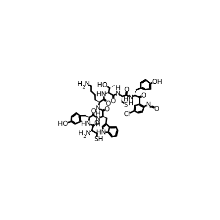 C[C@@H](O)[C@H](NC(=O)[C@H](CCCCN)NC(=O)[C@@H](Cc1c[nH]c2ccccc12)NC(=O)[C@H](Cc1ccc(O)cc1)NC(=O)[C@@H](N)CS)C(=O)N[C@@H](CS)C(=O)N[C@H](Cc1ccc(O)cc1)C(=O)c1cc(Cl)ccc1N=C=O